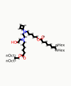 CCCCCCCCC(CCCCCCCC)COC(=O)CCCCCN(CCO)CCN(CCCCCOC(=O)CCCCC=C(CCCCCC)CCCCCC)C1CCC1